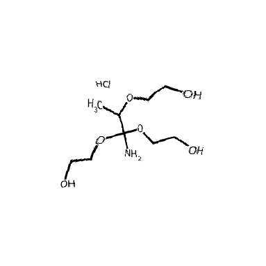 CC(OCCO)C(N)(OCCO)OCCO.Cl